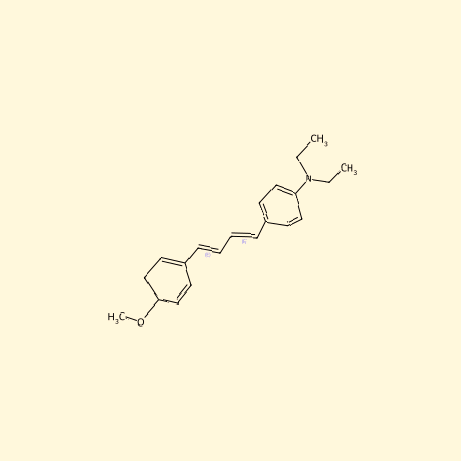 CCN(CC)c1ccc(/C=C/C=C/C2=CCC(OC)C=C2)cc1